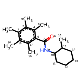 Cc1c(C)c(C)c(C(=O)NC2CCCCC2C)c(C)c1C